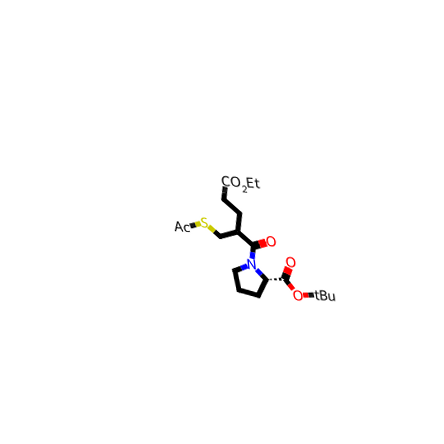 CCOC(=O)CCC(CSC(C)=O)C(=O)N1CCC[C@H]1C(=O)OC(C)(C)C